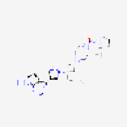 CC[C@H]1CCCN1C(=O)N1CCN([C@H]2C[C@](CC#N)(n3cc(-c4ncnc5[nH]ccc45)cn3)C2)CC1